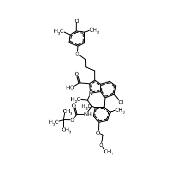 COCOc1cc(C)c(-c2c(Cl)ccc3c(CCCOc4cc(C)c(Cl)c(C)c4)c(C(=O)O)n(C(C)CNC(=O)OC(C)(C)C)c23)c(C)c1